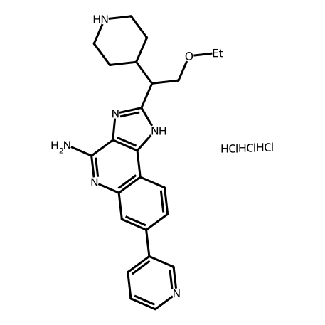 CCOCC(c1nc2c(N)nc3cc(-c4cccnc4)ccc3c2[nH]1)C1CCNCC1.Cl.Cl.Cl